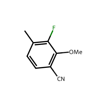 COc1c(C#N)ccc(C)c1F